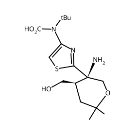 CC1(C)C[C@@H](CO)[C@](N)(c2nc(N(C(=O)O)C(C)(C)C)cs2)CO1